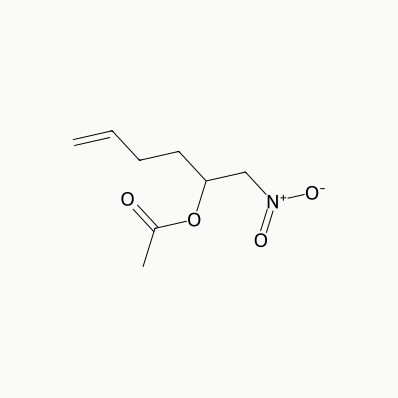 C=CCCC(C[N+](=O)[O-])OC(C)=O